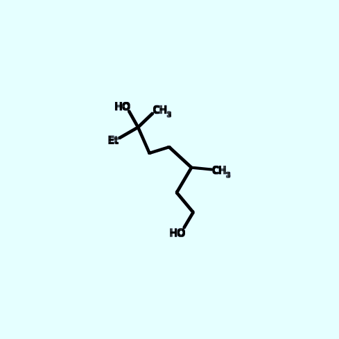 CCC(C)(O)CCC(C)CCO